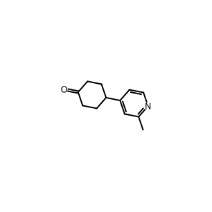 Cc1cc(C2CCC(=O)CC2)ccn1